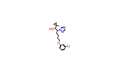 CC1(C(O)C(CCCCOc2cccc(Cl)c2)n2cncn2)CC1